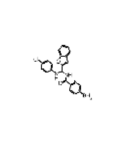 Bc1ccc(C(=O)NC(Nc2ccc(Cl)cc2)c2cc3ccccc3o2)nc1